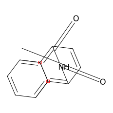 O=c1[nH]c(=O)c2ccc1c1c3ccc(cc3)c21